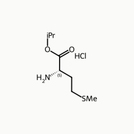 CSCC[C@H](N)C(=O)OC(C)C.Cl